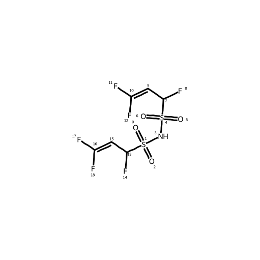 O=S(=O)(NS(=O)(=O)C(F)C=C(F)F)C(F)C=C(F)F